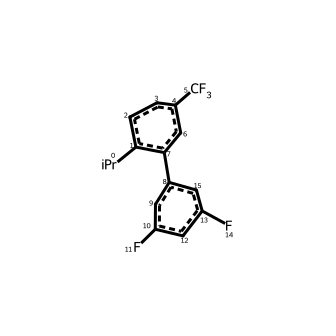 CC(C)c1ccc(C(F)(F)F)cc1-c1cc(F)cc(F)c1